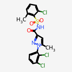 Cc1cccc(Cl)c1S(=O)(=O)NC(=O)c1cc(C)n(-c2cccc(Cl)c2Cl)n1